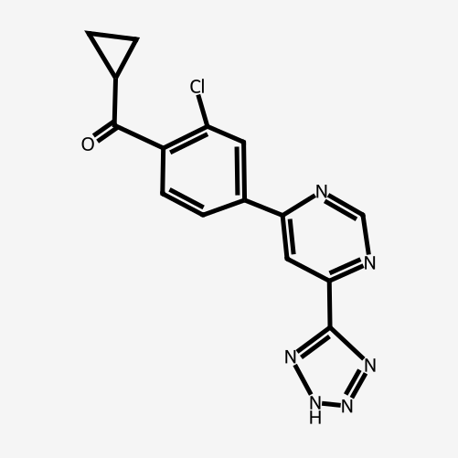 O=C(c1ccc(-c2cc(-c3nn[nH]n3)ncn2)cc1Cl)C1CC1